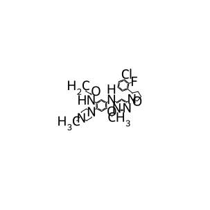 C=CC(=O)Nc1cc(Nc2cc(N3OCCC3c3cccc(Cl)c3F)ncn2)c(OC)cc1N1CCN(C)CC1